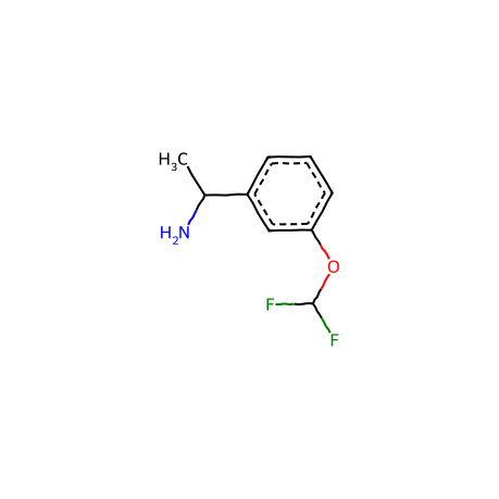 CC(N)c1cccc(OC(F)F)c1